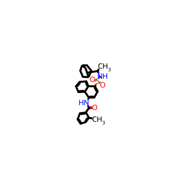 Cc1ccccc1C(=O)Nc1ccc(S(=O)(=O)NC(C)C2CC3CCC2CC3)c2ccccc12